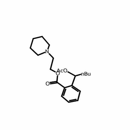 CCCCC(OC(C)=O)c1ccccc1C(=O)OCCN1CCCCC1